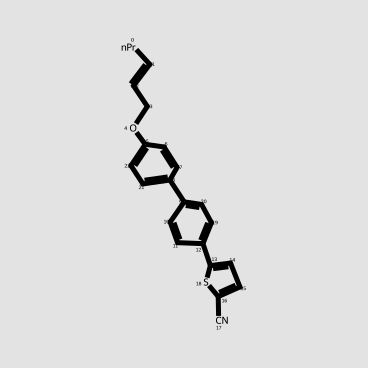 CCC/C=C/COc1ccc(-c2ccc(-c3ccc(C#N)s3)cc2)cc1